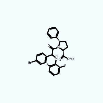 COC(=O)[C@@H]1CC[C@H](c2ccccc2)N1C(=O)C(Nc1c(F)cccc1F)c1ccc(Br)cc1